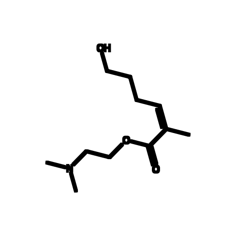 CC(=CCCCO)C(=O)OCCN(C)C